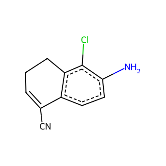 N#CC1=CCCc2c1ccc(N)c2Cl